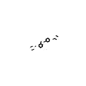 COc1cc2nc(-c3ccc(OCc4cnccn4)c(Cl)c3)ncc2cc1OC(=O)N1CCNC[C@H]1C